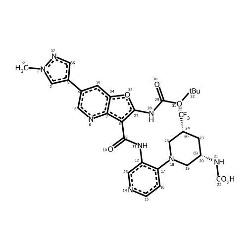 Cn1cc(-c2cnc3c(C(=O)Nc4cnccc4N4C[C@@H](NC(=O)O)C[C@@H](C(F)(F)F)C4)c(NC(=O)OC(C)(C)C)oc3c2)cn1